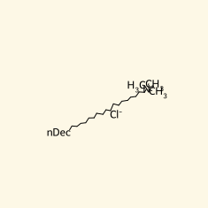 CCCCCCCCCCCCCCCCCCCCCCCCCCCC[N+](C)(C)C.[Cl-]